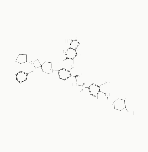 CC(C)c1ccccc1[C@@H]1CCC[C@@H]1N1CC2(CCN(c3ccc(C(=O)NS(=O)(=O)c4cnc(NC[C@H]5CC[C@](C)(O)CC5)c([N+](=O)[O-])c4)c(Oc4cc5cc[nH]c5nc4F)c3)CC2)C1